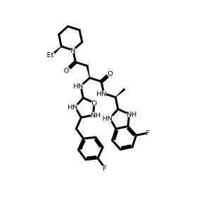 CC[C@H]1CCCCN1C(=O)C[C@H](NC1NC(Cc2ccc(F)cc2)NO1)C(=O)N[C@@H](C)C1Nc2cccc(F)c2N1